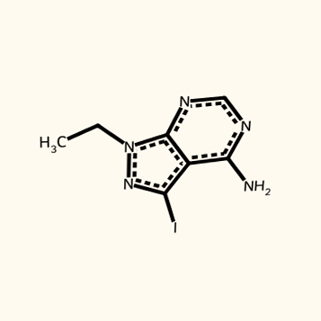 CCn1nc(I)c2c(N)ncnc21